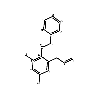 C=CCc1cc(C)cc(C)c1OCc1ccccc1